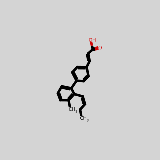 CC/C=C\c1c(C)cccc1-c1ccc(/C=C/C(=O)O)cc1